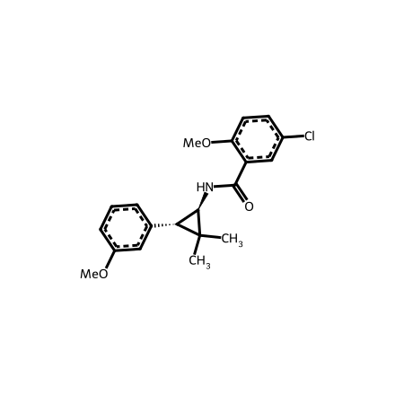 COc1cccc([C@@H]2[C@@H](NC(=O)c3cc(Cl)ccc3OC)C2(C)C)c1